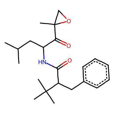 CC(C)CC(NC(=O)C(Cc1ccccc1)C(C)(C)C)C(=O)C1(C)CO1